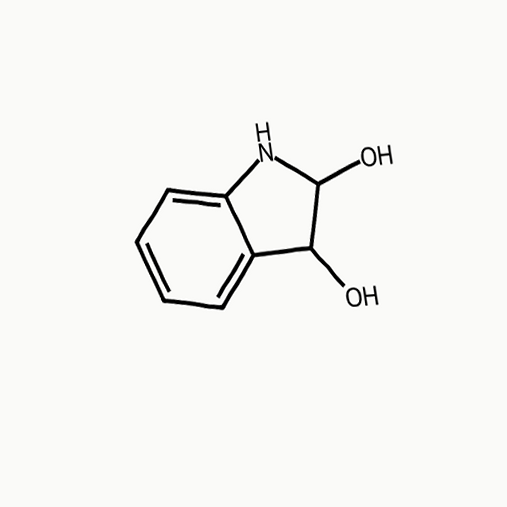 OC1Nc2ccccc2C1O